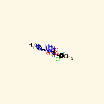 Cc1cc(Cl)c(COc2nsc(NC(=O)NCCCN3CCN(C)CC3)c2C(N)=O)cc1F